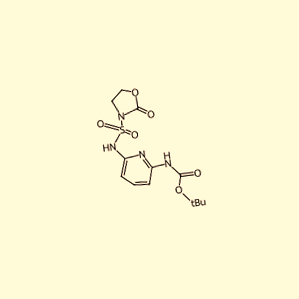 CC(C)(C)OC(=O)Nc1cccc(NS(=O)(=O)N2CCOC2=O)n1